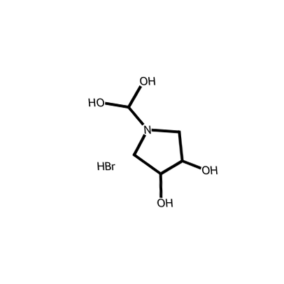 Br.OC1CN(C(O)O)CC1O